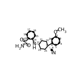 COc1cccc([C@]2(C#N)CC[C@@H](Nc3ccccc3S(N)(=O)=O)CC2)c1